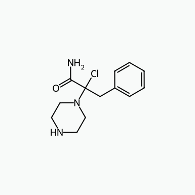 NC(=O)C(Cl)(Cc1ccccc1)N1CCNCC1